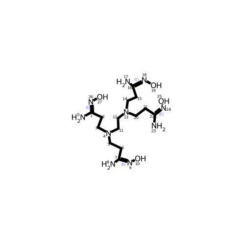 N/C(CCN(CC/C(N)=N\O)CCN(CC/C(N)=N\O)CC/C(N)=N\O)=N/O